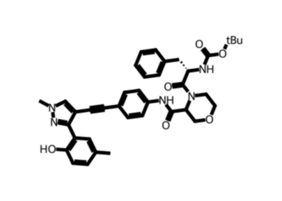 Cc1ccc(O)c(-c2nn(C)cc2C#Cc2ccc(NC(=O)C3COCCN3C(=O)[C@H](Cc3ccccc3)NC(=O)OC(C)(C)C)cc2)c1